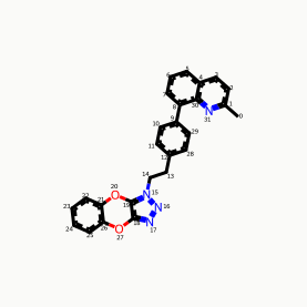 Cc1ccc2cccc(-c3ccc(CCn4nnc5c4Oc4ccccc4O5)cc3)c2n1